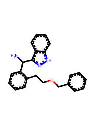 NC(c1ccccc1CCOCc1ccccc1)c1n[nH]c2ccccc12